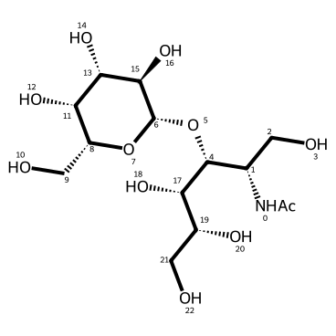 CC(=O)N[C@@H](CO)[C@@H](O[C@@H]1O[C@H](CO)[C@H](O)[C@H](O)[C@H]1O)[C@@H](O)[C@H](O)CO